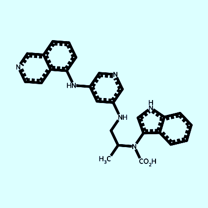 CC(CNc1cncc(Nc2cccc3cnccc23)c1)N(C(=O)O)c1c[nH]c2ccccc12